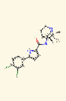 C[C@H]1[C@H](NC(=O)c2ccc(-c3ccc(F)c(F)c3)[nH]2)C2CCN1CC2